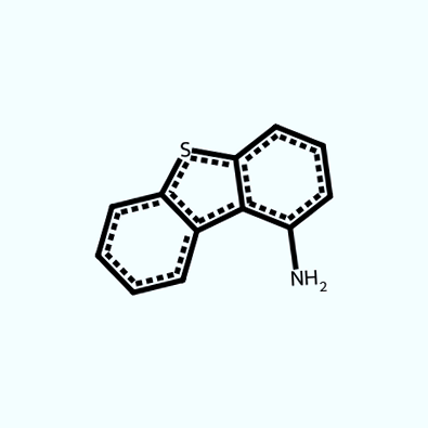 Nc1cccc2sc3ccccc3c12